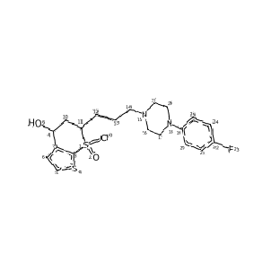 O=S1(=O)c2sccc2C(O)CC1CCCN1CCN(c2ccc(F)cc2)CC1